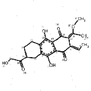 C/C=C1/C(=O)c2c(O)c3c(c(O)c2C(=O)/C1=C(/C)OC)CCC(C(=O)CO)C3